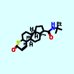 CCC(C)(C)NC(=O)C1CC[C@H]2[C@@H]3CCC4SC(=O)C=C[C@]4(C)[C@@H]3CC[C@]12C